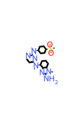 CN(c1ccc(S(C)(=O)=O)cc1)c1nccc(N(C)c2cccc3c2nc(N)n3C)n1